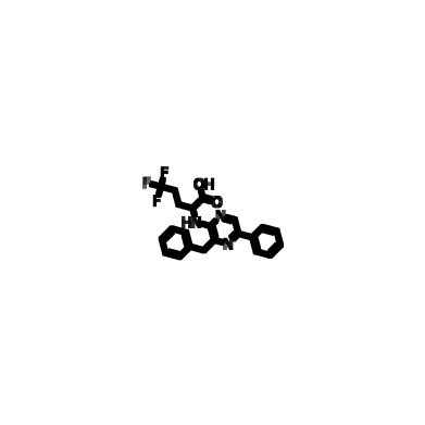 O=C(O)C(CCC(F)(F)F)Nc1ncc(-c2ccccc2)nc1Cc1ccccc1